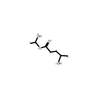 CC(O)CCC(=O)OC(C)O